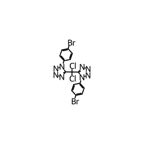 ClC(Cl)(c1nnnn1-c1ccc(Br)cc1)c1nnnn1-c1ccc(Br)cc1